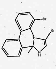 CC12NC=C(Br)N1c1c(Br)cccc1-c1ccccc12